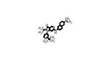 CC(C)n1c(=O)c2cnc(Nc3ccc4c(c3)CCC(N(C)C)C4)cc2n1-c1ccnc(C(C)(C)C)c1